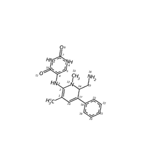 CC1=C(Nc2c[nH]c(=O)[nH]c2=O)N(C)C(CN)C(c2ccccc2)=C1